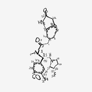 CN(C(=O)Cc1ccc2c(c1)NC(=O)C2)[C@H](CN1CC[C@H](F)C1)c1cccc(C(=O)O)c1